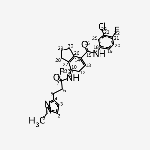 Cn1ccc(CCC(=O)N[C@]2(F)CC=C(C(=O)Nc3ccc(F)c(Cl)c3)C3=C2CCC3)n1